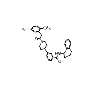 Cc1ccc(C)c(CC(=O)N2CCC(c3cccc(C(=O)N[C@@H]4CCCc5ccccc54)c3)CC2)c1